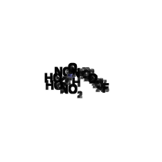 N#C/C(=C\c1cc(O)c(O)c([N+](=O)[O-])c1)C(=O)NCc1ccc(OCc2ccc(F)cc2)cc1